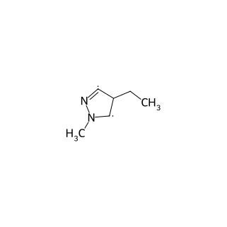 CCC1[C]=NN(C)[CH]1